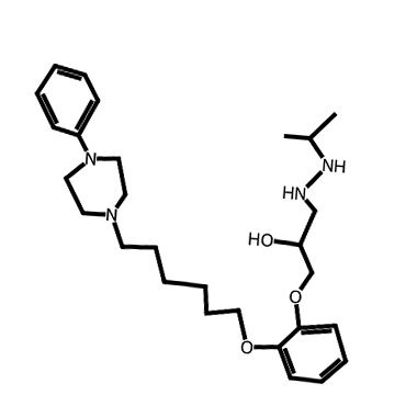 CC(C)NNCC(O)COc1ccccc1OCCCCCCN1CCN(c2ccccc2)CC1